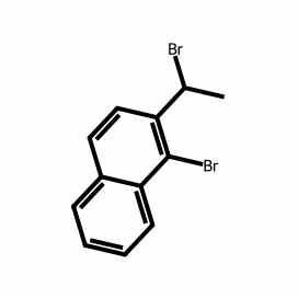 CC(Br)c1ccc2ccccc2c1Br